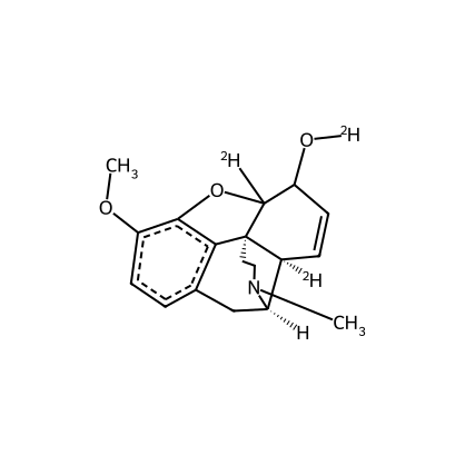 [2H]OC1C=C[C@@]2([2H])[C@H]3Cc4ccc(OC)c5c4[C@@]2(CCN3C)C1([2H])O5